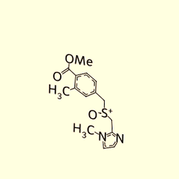 COC(=O)c1ccc(C[S+]([O-])Cc2nccn2C)cc1C